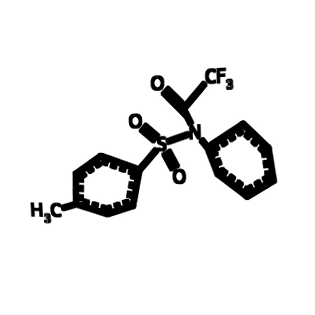 Cc1ccc(S(=O)(=O)N(C(=O)C(F)(F)F)c2ccccc2)cc1